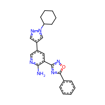 Nc1ncc(-c2cnn(C3CCCCC3)c2)cc1-c1noc(-c2ccccc2)n1